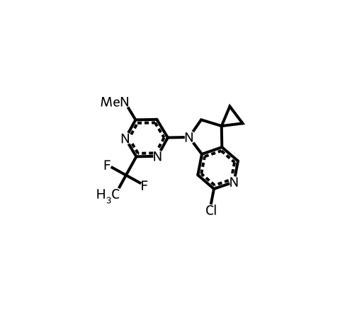 CNc1cc(N2CC3(CC3)c3cnc(Cl)cc32)nc(C(C)(F)F)n1